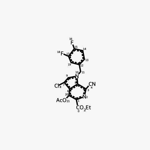 CCOC(=O)c1nc(C#N)c2c(c(Cl)cn2Cc2ccc(F)c(F)c2)c1OC(C)=O